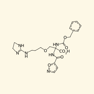 O=C(NC(COCCCNC1=NCCN1)(NC(=O)c1ccno1)C(=O)O)OCc1ccccc1